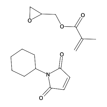 C=C(C)C(=O)OCC1CO1.O=C1C=CC(=O)N1C1CCCCC1